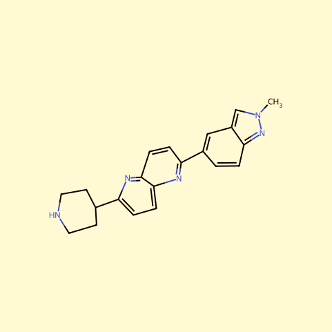 Cn1cc2cc(-c3ccc4nc(C5CCNCC5)ccc4n3)ccc2n1